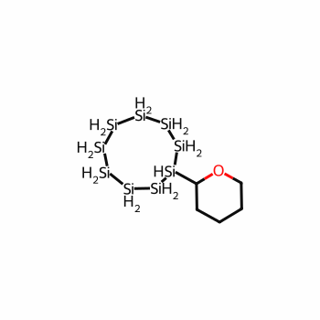 C1CCC([SiH]2[SiH2][SiH2][SiH2][SiH2][SiH2][SiH2][SiH2][SiH2]2)OC1